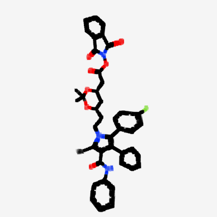 CC(C)c1c(C(=O)Nc2ccccc2)c(-c2ccccc2)c(-c2ccc(F)cc2)n1CC[C@@H]1C[C@H](CC(=O)ON2C(=O)c3ccccc3C2=O)OC(C)(C)O1